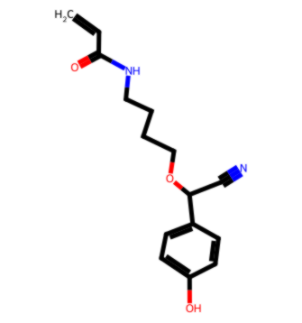 C=CC(=O)NCCCCOC(C#N)c1ccc(O)cc1